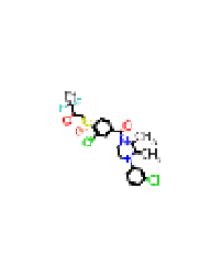 CCC(F)(F)C(=O)C[S+]([O-])c1ccc(C(=O)N2CCN(c3cccc(Cl)c3)C(C)C2C)cc1Cl